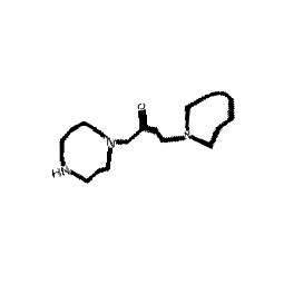 O=C(CN1CCCC1)N1CCNCC1